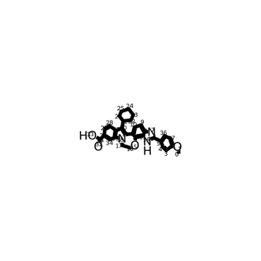 COc1ccc(-c2nc3ccc4c(c3[nH]2)OCCn2c-4c(C3CCCCC3)c3ccc(C(=O)O)cc32)cc1